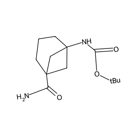 CC(C)(C)OC(=O)NC12CCCC(C(N)=O)(C1)C2